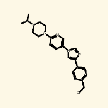 CC(C)N1CCN(c2ccc(-n3cnc(-c4ccc(CCl)cc4)c3)cn2)CC1